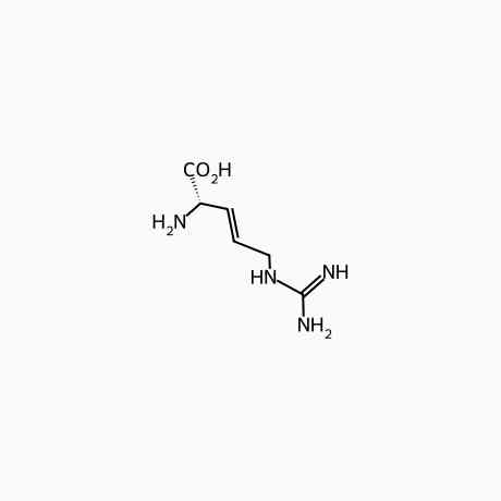 N=C(N)NC/C=C/[C@H](N)C(=O)O